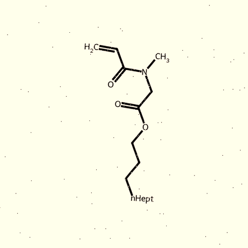 C=CC(=O)N(C)CC(=O)OCCCCCCCCCC